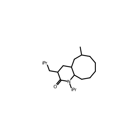 CC(C)CC1CC2CC(C)CCCCCC2N(C(C)C)C1=O